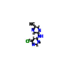 N#Cc1cnc(Nc2cc(Cl)ncn2)cn1